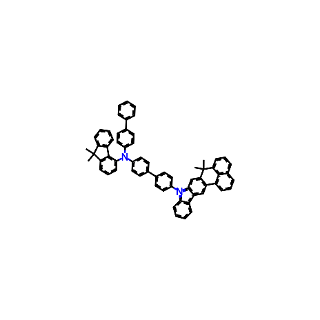 CC1(C)c2ccccc2-c2c(N(c3ccc(-c4ccccc4)cc3)c3ccc(-c4ccc(-n5c6ccccc6c6cc7c(cc65)C(C)(C)c5cccc6cccc-7c56)cc4)cc3)cccc21